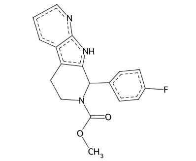 COC(=O)N1CCc2c([nH]c3ncccc23)C1c1ccc(F)cc1